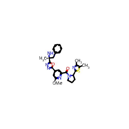 COc1cc(-c2nnc([C@](C)(N)Cc3ccccc3)o2)cc(C(=O)N2CCCC2c2nc(C)c(C)s2)n1